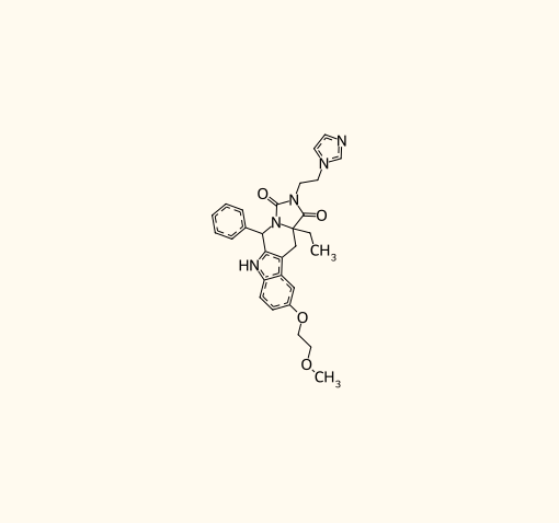 CCC12Cc3c([nH]c4ccc(OCCOC)cc34)C(c3ccccc3)N1C(=O)N(CCn1ccnc1)C2=O